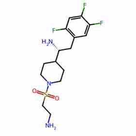 NCCS(=O)(=O)N1CCC([C@H](N)Cc2cc(F)c(F)cc2F)CC1